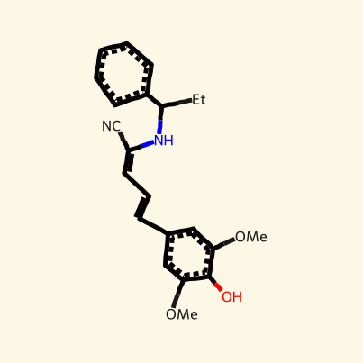 CCC(NC(C#N)=CC=Cc1cc(OC)c(O)c(OC)c1)c1ccccc1